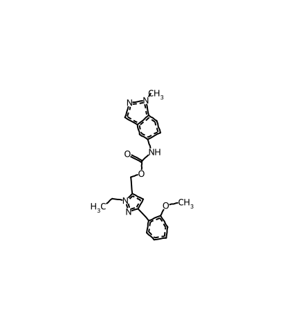 CCn1nc(-c2ccccc2OC)cc1COC(=O)Nc1ccc2c(cnn2C)c1